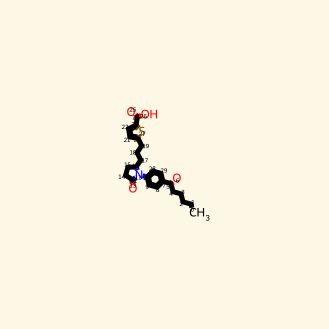 CCCCCC(=O)c1ccc(N2C(=O)CCC2CCCc2ccc(C(=O)O)s2)cc1